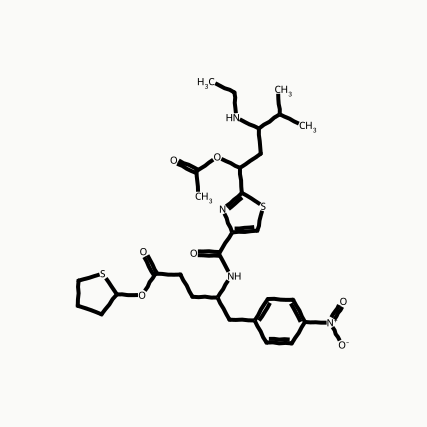 CCNC(CC(OC(C)=O)c1nc(C(=O)NC(CCC(=O)OC2CCCS2)Cc2ccc([N+](=O)[O-])cc2)cs1)C(C)C